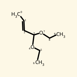 CC=CC(OCC)OCC